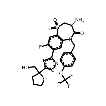 N[C@H]1CS(=O)(=O)c2cc(F)c(-c3noc(C4(CO)CCCO4)n3)cc2N(Cc2ccc(OC(F)(F)F)cc2)C1=O